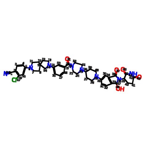 N#Cc1ccc(N2CCC3(CC2)CCN(c2cccc(C(=O)N4CCN(C5CCN(c6ccc7c(c6)C(=O)N(C6CCC(=O)NC6=O)C7O)CC5)CC4)c2)C3)cc1Cl